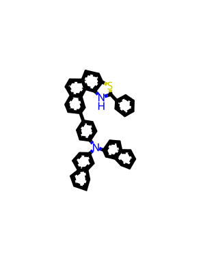 c1ccc(C2Nc3c(ccc4ccc5ccc(-c6ccc(N(c7ccc8ccccc8c7)c7ccc8ccccc8c7)cc6)cc5c34)S2)cc1